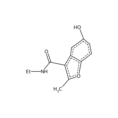 CCNC(=O)c1c(C)oc2ccc(O)cc12